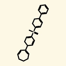 C=P(C)(C1=CCC(C2=CCCCC=C2)C=C1)C1=CC=C(c2ccccc2)CC1